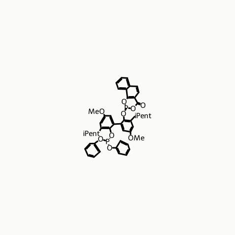 CCCC(C)c1cc(OC)cc(-c2cc(OC)cc(C(C)CCC)c2OP2OC(=O)c3ccc4ccccc4c3O2)c1OP(Oc1ccccc1)Oc1ccccc1